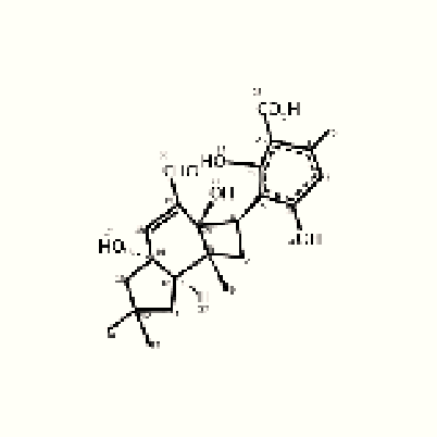 Cc1cc(O)c([C@H]2C[C@]3(C)[C@H]4CC(C)(C)C[C@@]4(O)C=C(C=O)[C@]23O)c(O)c1C(=O)O